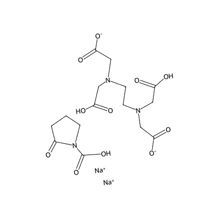 O=C(O)N1CCCC1=O.O=C([O-])CN(CCN(CC(=O)[O-])CC(=O)O)CC(=O)O.[Na+].[Na+]